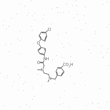 CN(CCN(C)Cc1ccc(C(=O)O)cc1)CC(=O)Nc1ccc(Oc2ccc(Cl)cc2)cc1